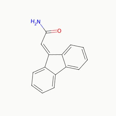 NC(=O)C=C1c2ccccc2-c2ccccc21